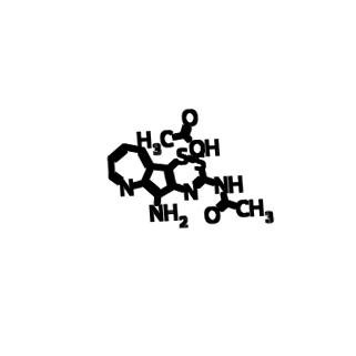 CC(=O)NC1=Nc2c(N)c3nccccc-3c2SS1.CC(=O)O